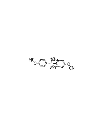 CCCC(c1ccc(OC#N)cc1)(c1ccc(OC#N)cc1)C(C)(C)C